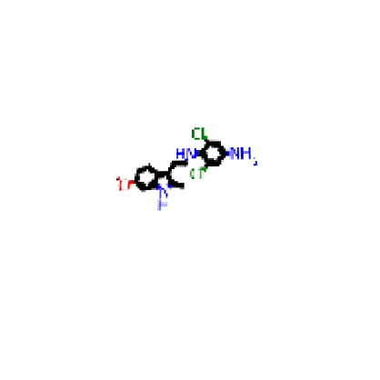 COc1ccc2c(CCNc3c(Cl)cc(N)cc3Cl)c(C)[nH]c2c1